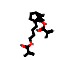 C=C(C)C(=O)OCCCCC12CCC(CC1OC(=O)C(=C)C)C2(C)C